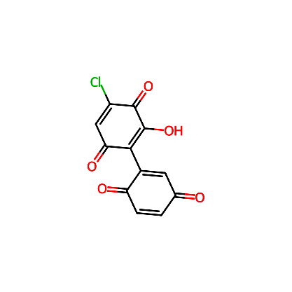 O=C1C=CC(=O)C(C2=C(O)C(=O)C(Cl)=CC2=O)=C1